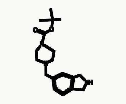 CC(C)(C)OC(=O)N1CCN(Cc2ccc3c(c2)CNC3)CC1